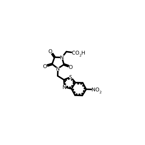 O=C(O)CN1C(=O)C(=O)N(Cc2nc3ccc([N+](=O)[O-])cc3s2)C1=O